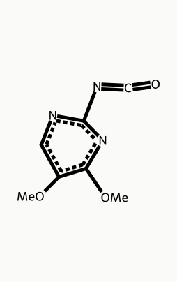 COc1cnc(N=C=O)nc1OC